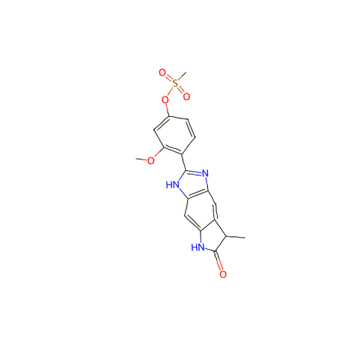 COc1cc(OS(C)(=O)=O)ccc1-c1nc2cc3c(cc2[nH]1)NC(=O)C3C